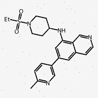 CCS(=O)(=O)N1CCC(Nc2cc(-c3ccc(C)nc3)cc3ccncc23)CC1